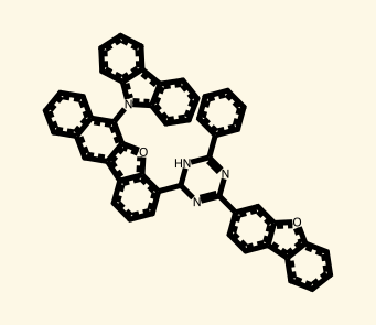 c1ccc(C2=NC(c3ccc4c(c3)oc3ccccc34)=NC(c3cccc4c3oc3c(-n5c6ccccc6c6ccccc65)c5ccccc5cc34)N2)cc1